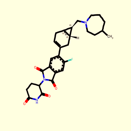 CC1CCCN(C[C@@H]2[C@H]3CC=C(c4cc5c(cc4F)C(=O)N(C4CCC(=O)NC4=O)C5=O)C[C@H]32)CC1